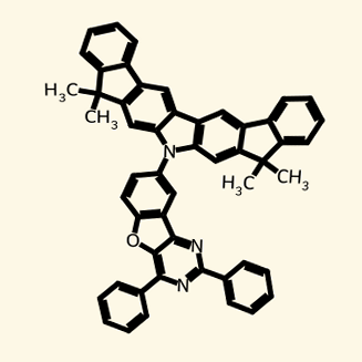 CC1(C)c2ccccc2-c2cc3c4cc5c(cc4n(-c4ccc6oc7c(-c8ccccc8)nc(-c8ccccc8)nc7c6c4)c3cc21)C(C)(C)c1ccccc1-5